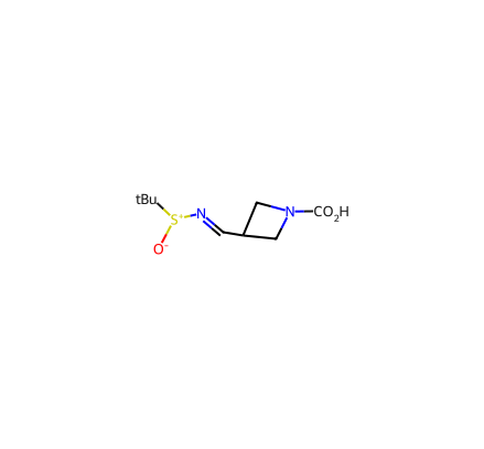 CC(C)(C)[S+]([O-])N=CC1CN(C(=O)O)C1